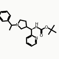 CC(c1ccccc1)N1CCC([C@@H](NC(=O)OC(C)(C)C)c2ccccn2)C1